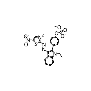 CCn1c(-c2ccccc2)c(N=Nc2sc([N+](=O)[O-])c[n+]2C)c2ccccc21.COS(=O)(=O)[O-]